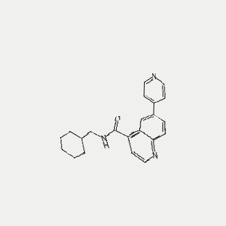 O=C(NCC1CCCCC1)c1ccnc2ccc(-c3ccncc3)cc12